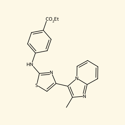 CCOC(=O)c1ccc(Nc2nc(-c3c(C)nc4ccccn34)cs2)cc1